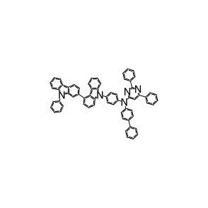 c1ccc(-c2ccc(N(c3ccc(-n4c5ccccc5c5c(-c6ccc7c8ccccc8n(-c8ccccc8)c7c6)cccc54)cc3)c3cc(-c4ccccc4)nc(-c4ccccc4)n3)cc2)cc1